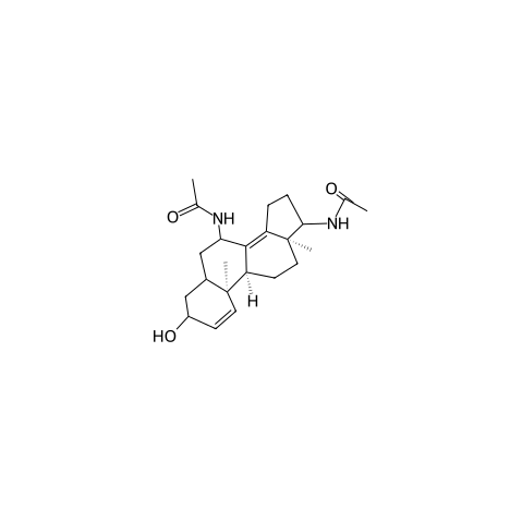 CC(=O)NC1CC2CC(O)C=C[C@]2(C)[C@@H]2CC[C@@]3(C)C(=C12)CCC3NC(C)=O